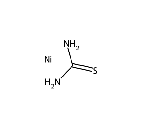 NC(N)=S.[Ni]